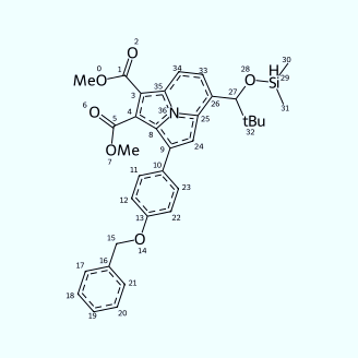 COC(=O)c1c(C(=O)OC)c2c(-c3ccc(OCc4ccccc4)cc3)cc3c(C(O[SiH](C)C)C(C)(C)C)ccc1n32